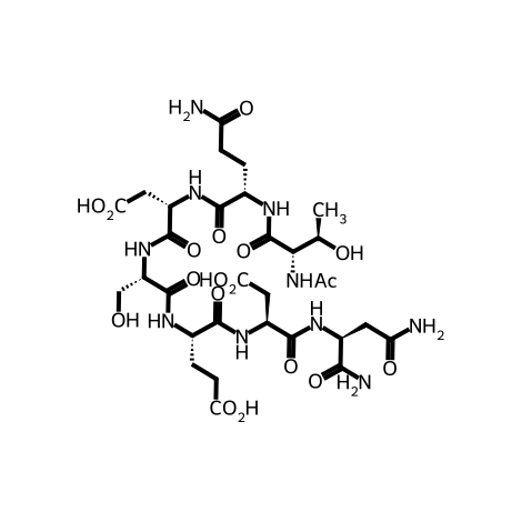 CC(=O)N[C@H](C(=O)N[C@@H](CCC(N)=O)C(=O)N[C@@H](CC(=O)O)C(=O)N[C@@H](CO)C(=O)N[C@@H](CCC(=O)O)C(=O)N[C@@H](CC(=O)O)C(=O)N[C@@H](CC(N)=O)C(N)=O)[C@@H](C)O